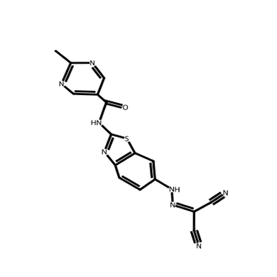 Cc1ncc(C(=O)Nc2nc3ccc(NN=C(C#N)C#N)cc3s2)cn1